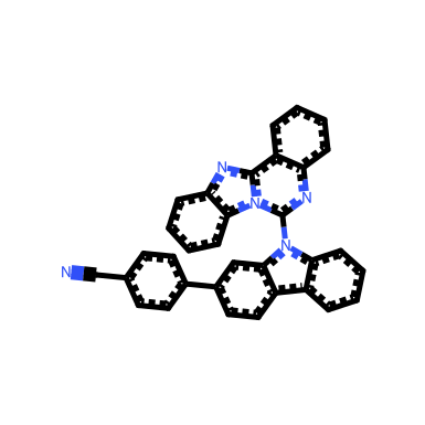 N#Cc1ccc(-c2ccc3c4ccccc4n(-c4nc5ccccc5c5nc6ccccc6n45)c3c2)cc1